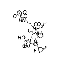 CC(C)(C)[C@H](c1cc(-c2cc(F)ccc2F)cn1Cc1ccccc1)N(CC[C@H](N)C(=O)N[C@H](CCCCNC(=O)CN1C(=O)C=CC1=O)C(=O)O)C(=O)CO